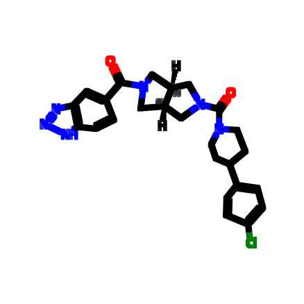 O=C(c1ccc2[nH]nnc2c1)N1C[C@H]2CN(C(=O)N3CCC(c4ccc(Cl)cc4)CC3)C[C@@H]2C1